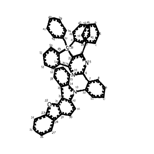 c1ccc(-c2nc(-c3ccccc3-n3c4ccccc4c4c5oc6ccccc6c5ccc43)nc3c2[Si](c2ccccc2)(c2ccccc2)c2ccccc2-3)cc1